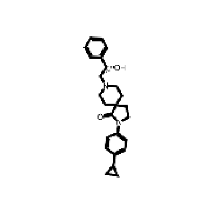 O=C1N(c2ccc(C3CC3)cc2)CCC12CCN(C[C@@H](O)c1ccccc1)CC2